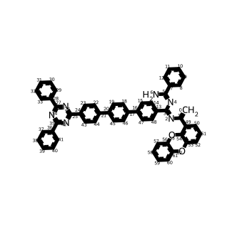 C=C(/N=C(\N=C(/N)c1ccccc1)c1ccc(-c2ccc(-c3ccc(-c4nc(-c5ccccc5)nc(-c5ccccc5)n4)cc3)cc2)cc1)c1cccc2c1Oc1ccccc1O2